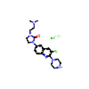 CN(C)CCN1CCN(c2ccc3nc(N4CCNCC4)c(Cl)cc3c2)C1=O.Cl.Cl